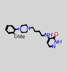 COc1ccccc1N1CCN(CCCCNc2ccn[nH]c2=O)CC1